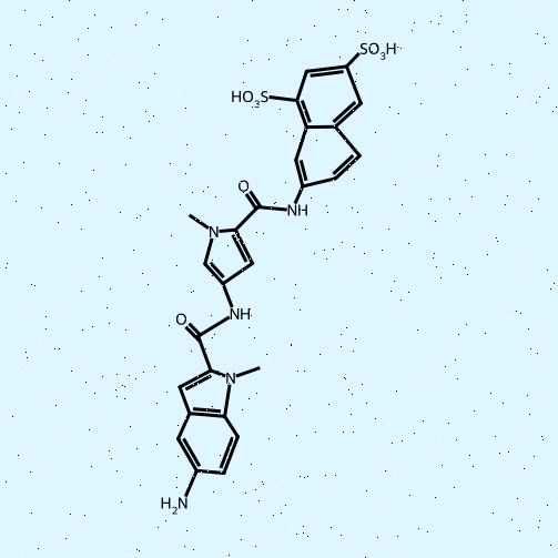 Cn1cc(NC(=O)c2cc3cc(N)ccc3n2C)cc1C(=O)Nc1ccc2cc(S(=O)(=O)O)cc(S(=O)(=O)O)c2c1